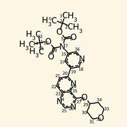 CC(C)(C)OC(=O)N(C(=O)OC(C)(C)C)c1cncc(-c2ccc3ncnc(OC4CCOCC4)c3n2)c1